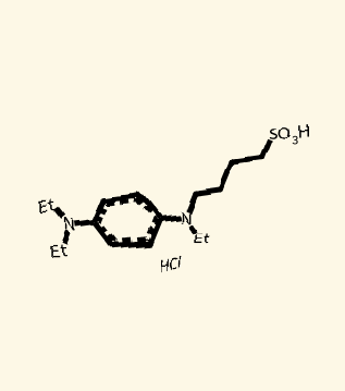 CCN(CC)c1ccc(N(CC)CCCCS(=O)(=O)O)cc1.Cl